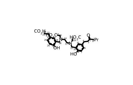 CC(C)C(=O)CCc1ccc(O)c(CN(CCN(CC(=O)O)Cc2cc(CCC(=O)O)ccc2O)CC(=O)O)c1